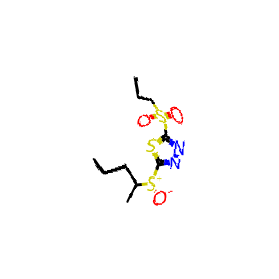 CCCC(C)[S+]([O-])c1nnc(S(=O)(=O)CCC)s1